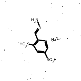 NN=Cc1ccc(S(=O)(=O)O)cc1S(=O)(=O)O.[Na].[Na]